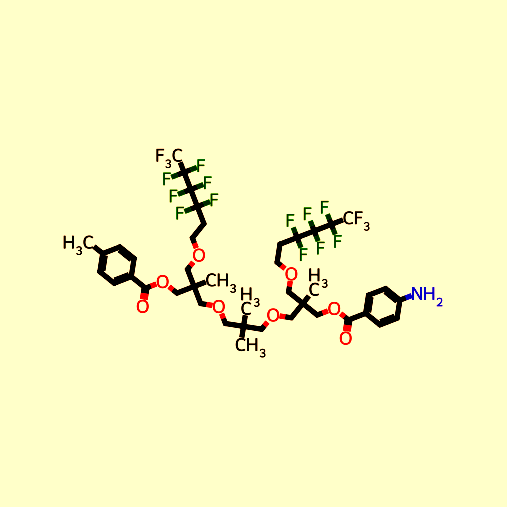 Cc1ccc(C(=O)OCC(C)(COCCC(F)(F)C(F)(F)C(F)(F)C(F)(F)F)COCC(C)(C)COCC(C)(COCCC(F)(F)C(F)(F)C(F)(F)C(F)(F)F)COC(=O)c2ccc(N)cc2)cc1